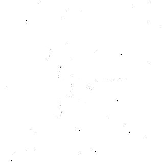 CCCC(=O)CC(C(=O)CCC)C(C)C(=O)CCC